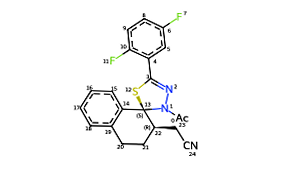 CC(=O)N1N=C(c2cc(F)ccc2F)S[C@@]12c1ccccc1CC[C@@H]2CC#N